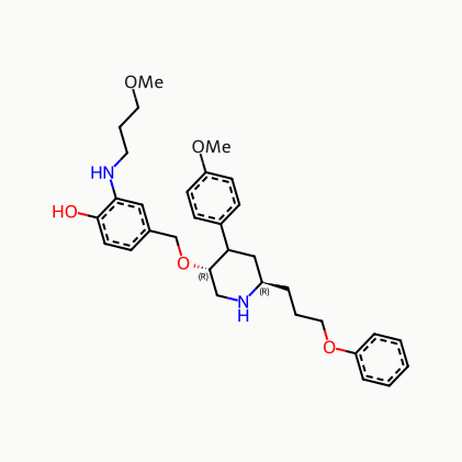 COCCCNc1cc(CO[C@H]2CN[C@H](CCCOc3ccccc3)CC2c2ccc(OC)cc2)ccc1O